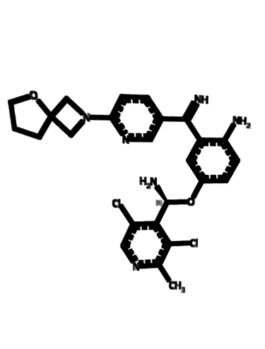 Cc1ncc(Cl)c([C@@H](N)Oc2ccc(N)c(C(=N)c3ccc(N4CC5(CCCO5)C4)nc3)c2)c1Cl